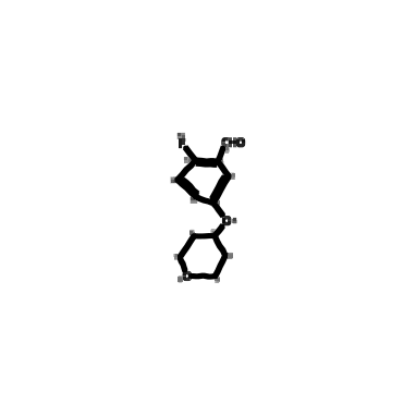 O=Cc1cc(OC2CCOCC2)ccc1F